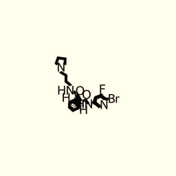 O=C(NCCCCN1CCCC1)[C@H]1[C@H](C(=O)Nc2cnc(Br)c(F)c2)[C@@H]2C=C[C@H]1C21CC1